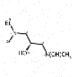 CCN(C)C[C@H](O)CN(C)O